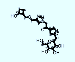 O=C(Cn1cc(COCC2CCC2O)nn1)C1=CN=C(CC2OC(CO)C(O)C(O)C2O)C1